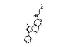 COCCNC(=O)CN1C(=O)CSc2c1c(C)nn2-c1ccccc1